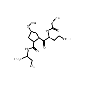 CC(C)(C)OC(=O)N[C@@H](CCC(=O)O)C(=O)N1C[C@H](OC(C)(C)C)CC1C(=O)NC(CC(F)(F)F)C(=O)O